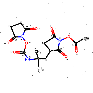 CC(C)(CC1CC(=O)N(OC(=O)C(C)(C)C)C1=O)NC(=O)ON1C(=O)CCC1=O